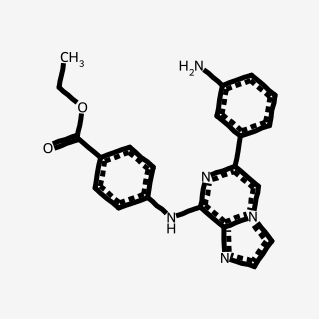 CCOC(=O)c1ccc(Nc2nc(-c3cccc(N)c3)cn3ccnc23)cc1